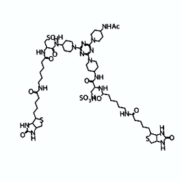 CC(=O)NC1CCN(c2nc(N3CCC(NC(=O)C(CS(=O)(=O)O)NC(=O)CCCCCNC(=O)CCCCC4SCC5NC(=O)NC54)CC3)nc(N3CCC(NC(=O)C(CS(=O)(=O)O)NC(O)CCCCCNC(=O)CCCCC4SCC5NC(=O)NC54)CC3)n2)CC1